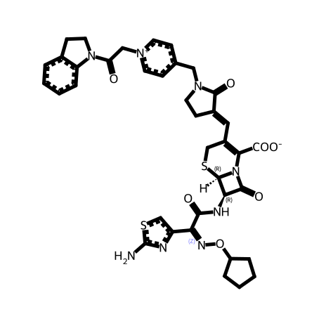 Nc1nc(/C(=N/OC2CCCC2)C(=O)N[C@@H]2C(=O)N3C(C(=O)[O-])=C(C=C4CCN(Cc5cc[n+](CC(=O)N6CCc7ccccc76)cc5)C4=O)CS[C@H]23)cs1